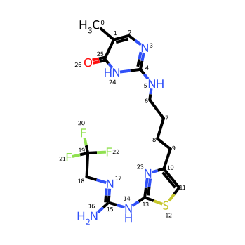 Cc1cnc(NCCCCc2csc(NC(N)=NCC(F)(F)F)n2)[nH]c1=O